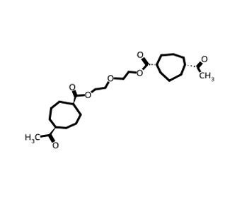 CC(=O)[C@H]1CCC[C@@H](C(=O)OCCOCCOC(=O)[C@H]2CCC[C@@H](C(C)=O)CCC2)CCC1